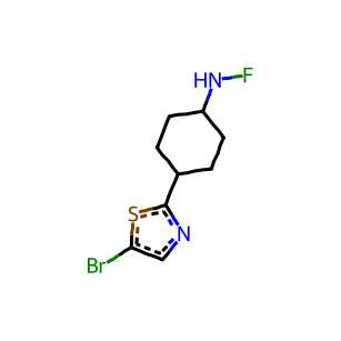 FNC1CCC(c2ncc(Br)s2)CC1